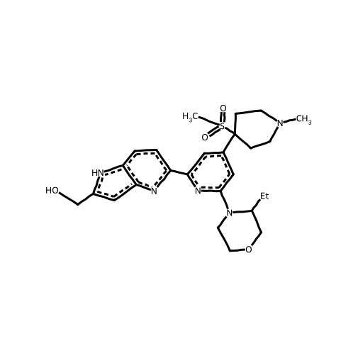 CCC1COCCN1c1cc(C2(S(C)(=O)=O)CCN(C)CC2)cc(-c2ccc3[nH]c(CO)cc3n2)n1